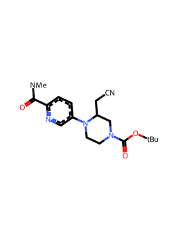 CNC(=O)c1ccc(N2CCN(C(=O)OC(C)(C)C)CC2CC#N)cn1